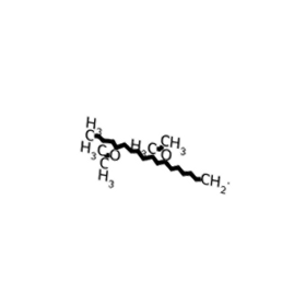 [CH2]CCCCCC(CCCCCCC(CCCC)OC(C)C)OC(C)C